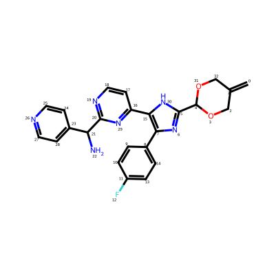 C=C1COC(c2nc(-c3ccc(F)cc3)c(-c3ccnc(C(N)c4ccncc4)n3)[nH]2)OC1